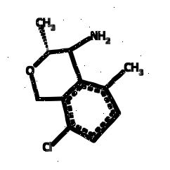 Cc1ccc(Cl)c2c1C(N)[C@@H](C)OC2